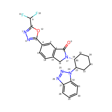 O=C1c2cc(-c3nnc(C(F)F)o3)ccc2CN1[C@@H]1CCCCC1n1nnc2ccccc21